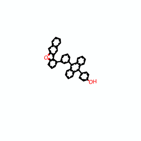 Oc1ccc(-c2c3ccccc3c(-c3cccc(-c4cccc5oc6cc7ccccc7cc6c45)c3)c3ccccc23)cc1